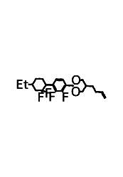 C=CCCC1COC(c2ccc(C3CCC(CC)CC3(F)F)c(F)c2F)OC1